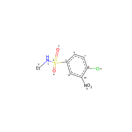 CCNS(=O)(=O)c1ccc(Cl)c([N+](=O)[O-])c1